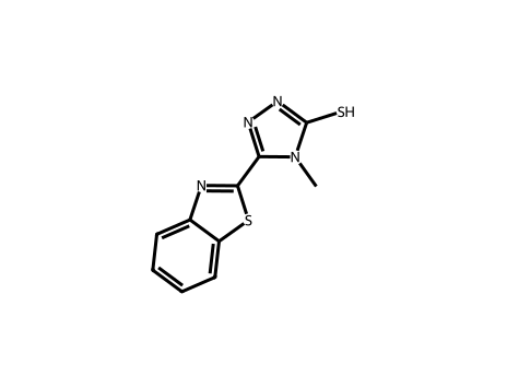 Cn1c(S)nnc1-c1nc2ccccc2s1